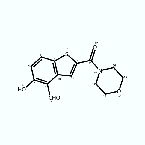 O=Cc1c(O)ccc2sc(C(=O)N3CCOCC3)cc12